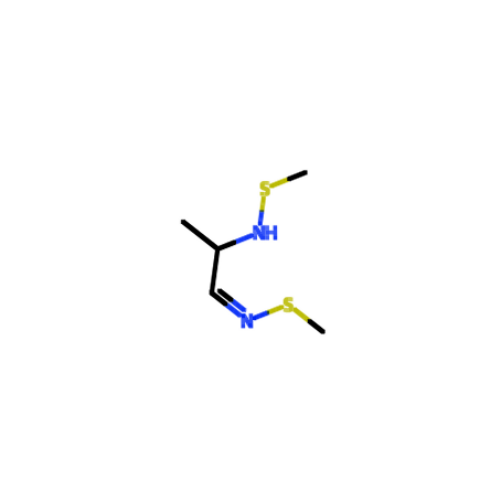 CS/N=C\C(C)NSC